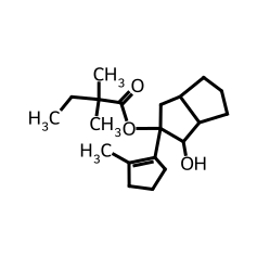 CCC(C)(C)C(=O)OC1(C2=C(C)CCC2)CC2CCCC2C1O